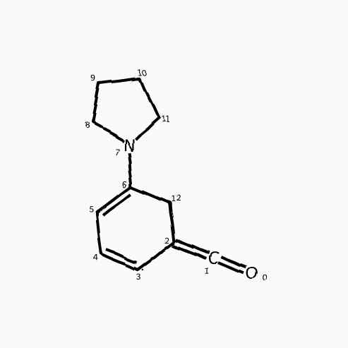 O=C=C1[C]=CC=C(N2CCCC2)C1